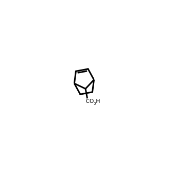 O=C(O)C1C2C=CC1CC2